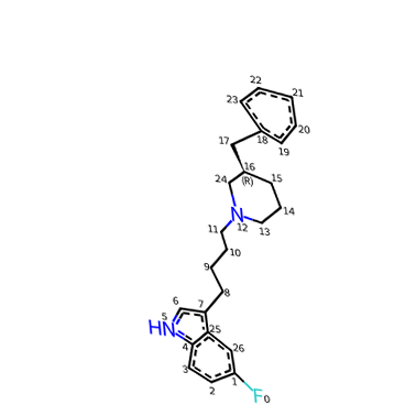 Fc1ccc2[nH]cc(CCCCN3CCC[C@H](Cc4ccccc4)C3)c2c1